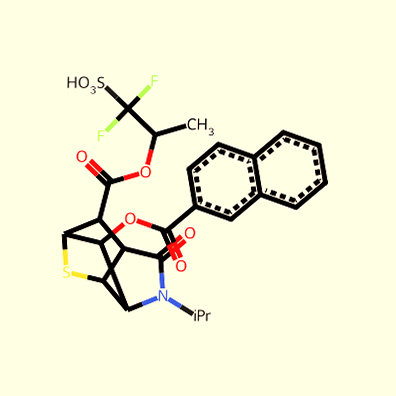 CC(C)N1C(=O)C2C3SC(C(OC(=O)c4ccc5ccccc5c4)C31)C2C(=O)OC(C)C(F)(F)S(=O)(=O)O